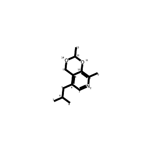 Cc1ncc(CC(C)C)c2c1OC(C)OC2